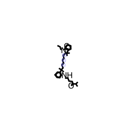 CCCN1/C(=C/C=C/C=C/CC(C)(C)c2ccccc2NCCCCC(=O)C(C)C)C(C)(C)c2ccccc21